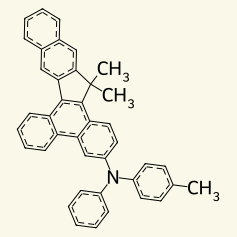 Cc1ccc(N(c2ccccc2)c2ccc3c4c(c5ccccc5c3c2)-c2cc3ccccc3cc2C4(C)C)cc1